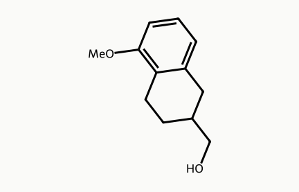 COc1cccc2c1CCC(CO)C2